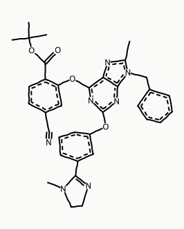 Cc1nc2c(Oc3cc(C#N)ccc3C(=O)OC(C)(C)C)nc(Oc3cccc(C4=NCCN4C)c3)nc2n1Cc1ccccc1